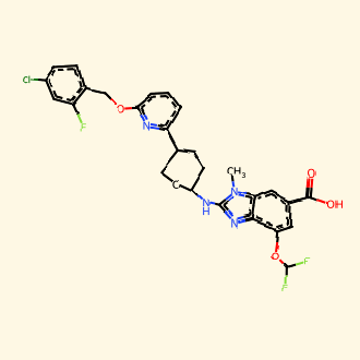 Cn1c(NC2CCC(c3cccc(OCc4ccc(Cl)cc4F)n3)CC2)nc2c(OC(F)F)cc(C(=O)O)cc21